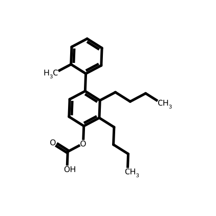 CCCCc1c(OC(=O)O)ccc(-c2ccccc2C)c1CCCC